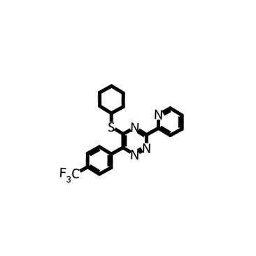 FC(F)(F)c1ccc(-c2nnc(-c3ccccn3)nc2SC2CCCCC2)cc1